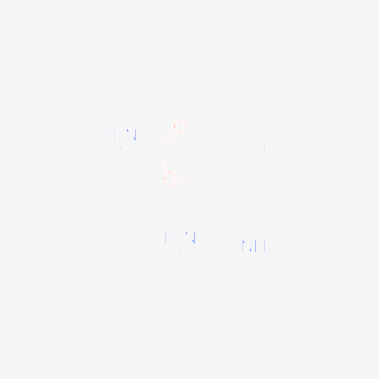 NC(=O)Oc1cc(F)cc(N)c1N